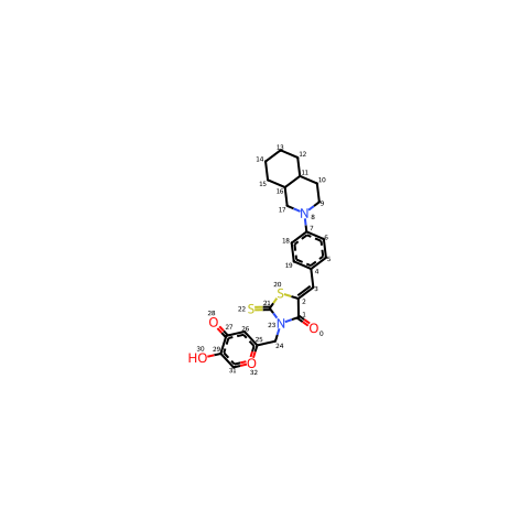 O=C1C(=Cc2ccc(N3CCC4CCCCC4C3)cc2)SC(=S)N1Cc1cc(=O)c(O)co1